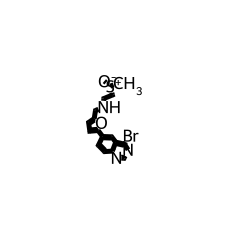 C[S+]([O-])CCNCc1ccc(-c2ccc3ncnc(Br)c3c2)o1